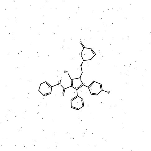 CC(C)c1c(C(=O)NC2=CCCC=C2)c(-c2ccccc2)c(-c2ccc(F)cc2)n1CC[C@@H]1CC=CC(=O)O1